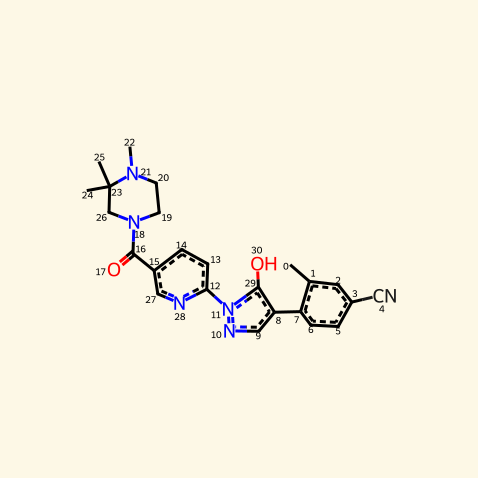 Cc1cc(C#N)ccc1-c1cnn(-c2ccc(C(=O)N3CCN(C)C(C)(C)C3)cn2)c1O